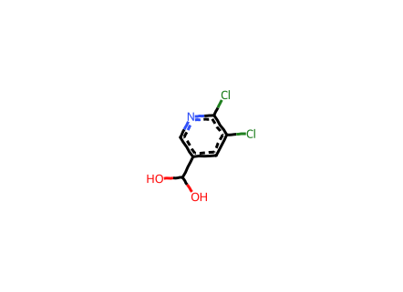 OC(O)c1cnc(Cl)c(Cl)c1